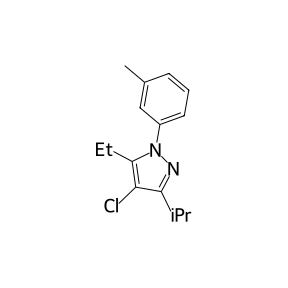 CCc1c(Cl)c(C(C)C)nn1-c1cccc(C)c1